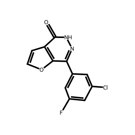 O=c1[nH]nc(-c2cc(F)cc(Cl)c2)c2occc12